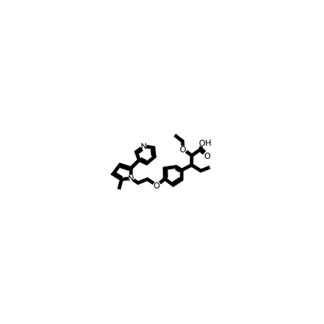 CCOC(C(=O)O)C(CC)c1ccc(OCCn2c(C)ccc2-c2cccnc2)cc1